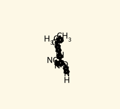 Cc1cccc(C(=O)N2CC3CN(c4ccc(-c5cc(OC6CC7CNCC7C6)cn6ncc(C#N)c56)cn4)CC3C2)c1C